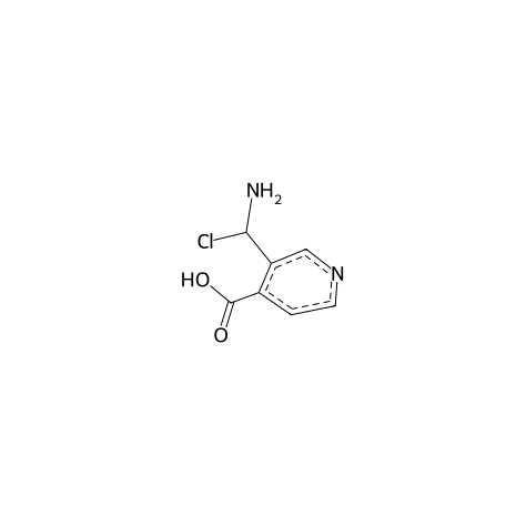 NC(Cl)c1cnccc1C(=O)O